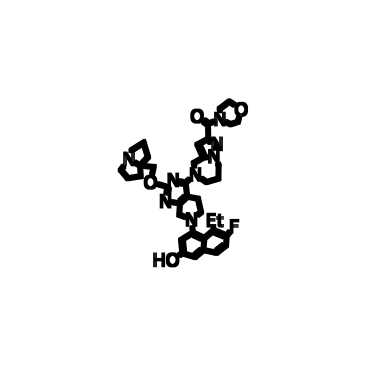 CCc1c(F)ccc2cc(O)cc(N3CCc4c(nc(OCC56CCCN5CCC6)nc4N4CCCn5nc(C(=O)N6CCOCC6)cc5C4)C3)c12